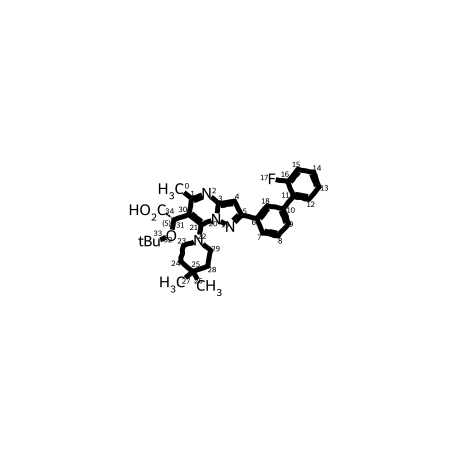 Cc1nc2cc(-c3cccc(-c4ccccc4F)c3)nn2c(N2CCC(C)(C)CC2)c1[C@H](OC(C)(C)C)C(=O)O